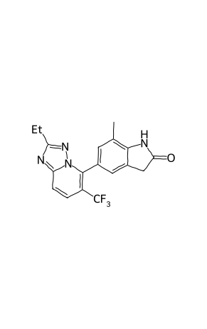 CCc1nc2ccc(C(F)(F)F)c(-c3cc(C)c4c(c3)CC(=O)N4)n2n1